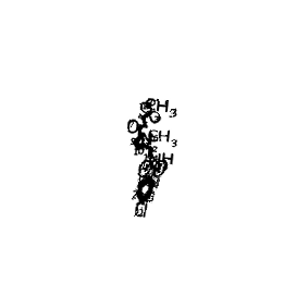 COC(=O)CCC(=O)c1ccc(CCNS(=O)(=O)c2ccc(Cl)cc2)n1C